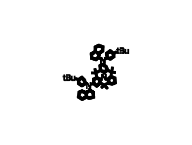 CC(C)(C)c1ccc(N(c2cc3c4c(c2)C(C)(C)c2cc(N(c5ccc(C(C)(C)C)cc5)c5cccc6ccccc56)cc5c2N4c2c(cccc2C5(C)C)C3(C)C)c2cccc3ccccc23)cc1